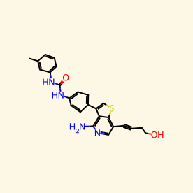 Cc1cccc(NC(=O)Nc2ccc(-c3csc4c(C#CCCO)cnc(N)c34)cc2)c1